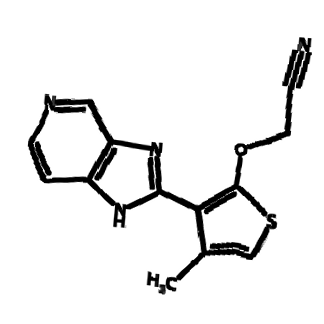 Cc1csc(OCC#N)c1-c1nc2cnccc2[nH]1